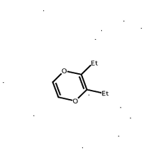 CCC1=C(CC)OC=CO1